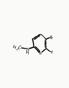 CNc1ccc(Br)c(F)n1